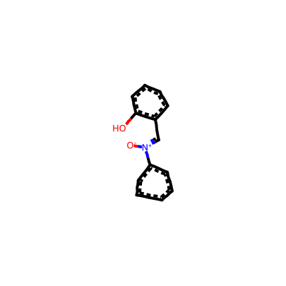 [O-][N+](=Cc1ccccc1O)c1ccccc1